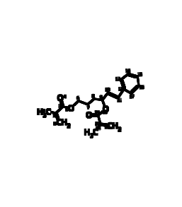 C=C(C)C(=O)OCCCC(C=Cc1ccccc1)OC(=O)C(=C)C